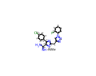 CNn1c(Cc2cn(-c3ccccc3F)nn2)nc(-c2ccc(Cl)cc2)c1C(=N)N